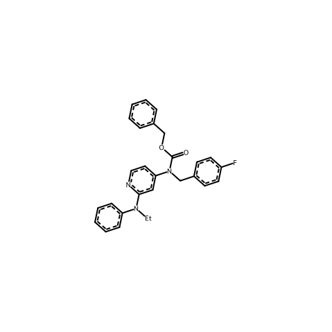 CCN(c1ccccc1)c1cc(N(Cc2ccc(F)cc2)C(=O)OCc2ccccc2)ccn1